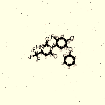 O=c1cc(C(F)(F)F)[nH]c(=O)n1-c1cc(Oc2ccccc2)c(Cl)cc1F